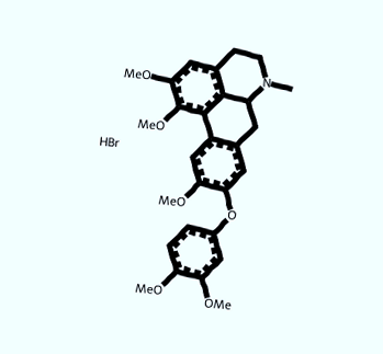 Br.COc1ccc(Oc2cc3c(cc2OC)-c2c(OC)c(OC)cc4c2C(C3)N(C)CC4)cc1OC